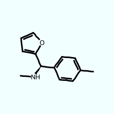 CN[C@H](c1ccc(C)cc1)c1ccco1